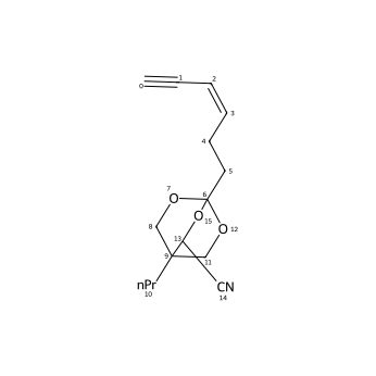 C#C/C=C\CCC12OCC(CCC)(CO1)C(C#N)O2